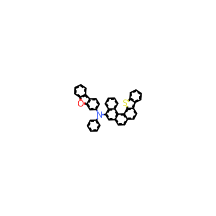 c1ccc(N(c2ccc3c(c2)oc2ccccc23)c2cc3ccc4ccc5c6ccccc6sc5c4c3c3ccccc23)cc1